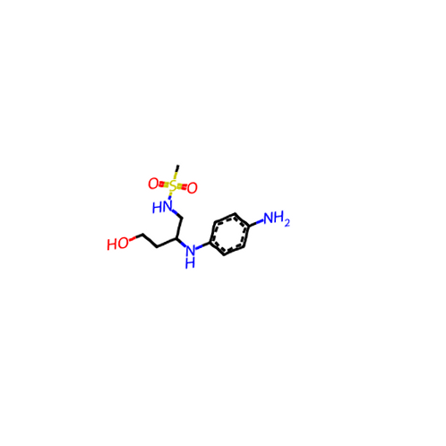 CS(=O)(=O)NCC(CCO)Nc1ccc(N)cc1